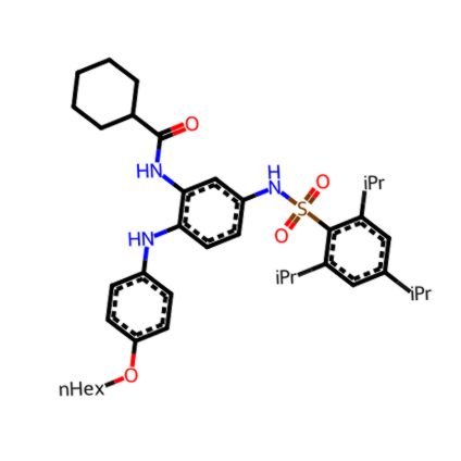 CCCCCCOc1ccc(Nc2ccc(NS(=O)(=O)c3c(C(C)C)cc(C(C)C)cc3C(C)C)cc2NC(=O)C2CCCCC2)cc1